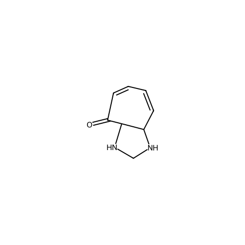 O=C1C=CC=CC2NCNC12